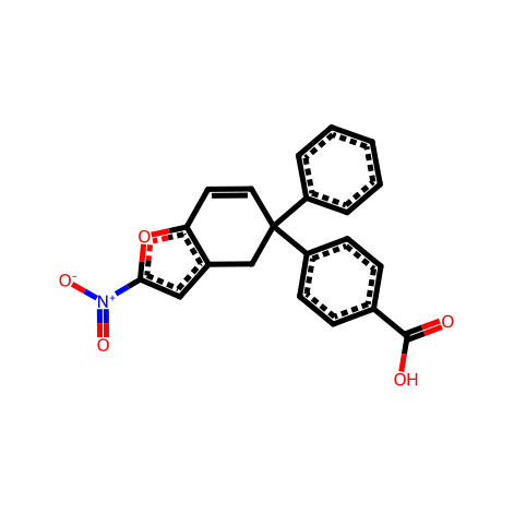 O=C(O)c1ccc(C2(c3ccccc3)C=Cc3oc([N+](=O)[O-])cc3C2)cc1